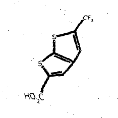 O=C(O)c1cc2cc(C(F)(F)F)sc2s1